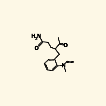 C=CN(C)c1ccccc1CC(CCC(N)=O)C(C)=O